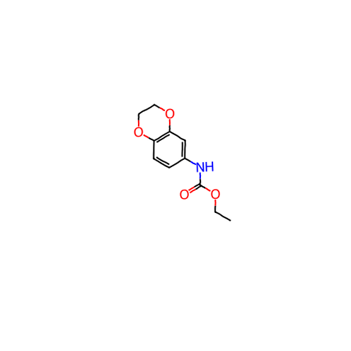 CCOC(=O)Nc1ccc2c(c1)OCCO2